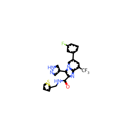 O=C(NCc1cccs1)c1nc2c(C(F)(F)F)cc(-c3cccc(F)c3)cn2c1-c1cn[nH]c1